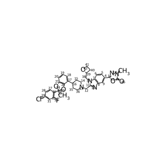 Cn1nc(-c2ccc3c(c2)nc(CN2CCC(c4cccc5c4OC(C)(c4ccc(Cl)cc4F)O5)CC2)n3CC2CCO2)oc1=O